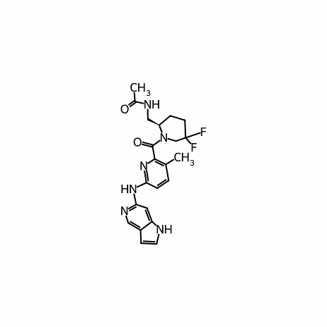 CC(=O)NC[C@H]1CCC(F)(F)CN1C(=O)c1nc(Nc2cc3[nH]ccc3cn2)ccc1C